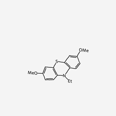 CCN1c2ccc(OC)cc2Sc2cc(OC)ccc21